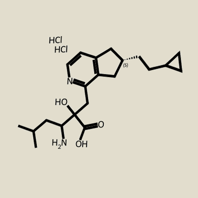 CC(C)CC(N)C(O)(Cc1nccc2c1C[C@@H](CCC1CC1)C2)C(=O)O.Cl.Cl